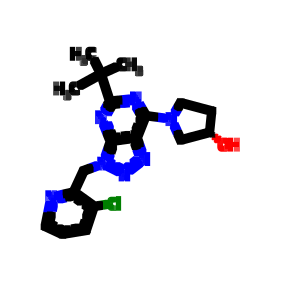 CC(C)(C)c1nc(N2CC[C@H](O)C2)c2nnn(Cc3ncccc3Cl)c2n1